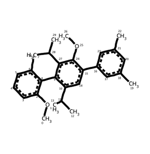 COc1cccc(I)c1-c1c(C(C)C)cc(-c2cc(C)cc(C)c2)c(OC)c1C(C)C